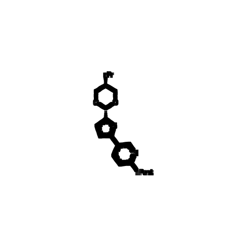 CCCCCc1ccc(-c2ccc([C@H]3OC[C@H](CCC)CO3)s2)cn1